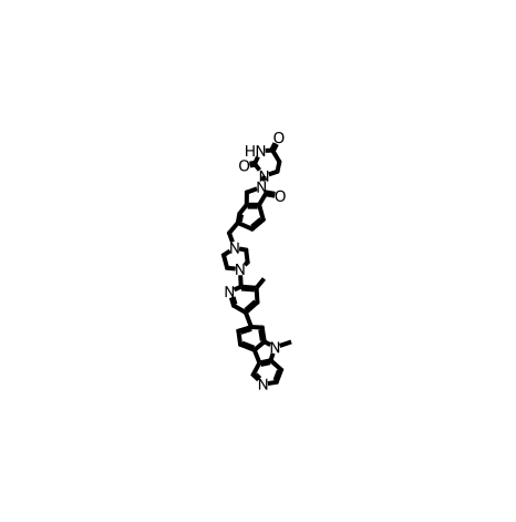 Cc1cc(-c2ccc3c4cnccc4n(C)c3c2)cnc1N1CCN(Cc2ccc3c(c2)CN(N2CCC(=O)NC2=O)C3=O)CC1